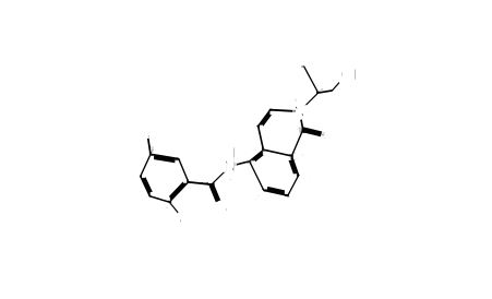 CC(CO)n1ccc2c(NC(=O)c3cc(Cl)ccc3Cl)cccc2c1=O